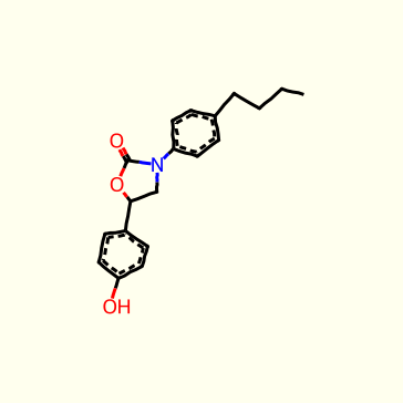 CCCCc1ccc(N2CC(c3ccc(O)cc3)OC2=O)cc1